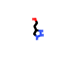 OCCC1CNNN1